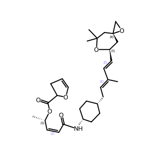 CC(/C=C/[C@@H]1C[C@]2(CO2)CC(C)(C)O1)=C\C[C@H]1CC[C@@H](NC(=O)/C=C\[C@H](C)OC(=O)C2CC=CO2)CC1